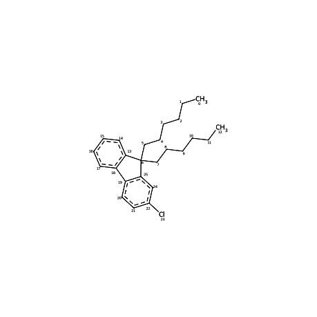 CCCCCCC1(CCCCCC)c2ccccc2-c2ccc(Cl)cc21